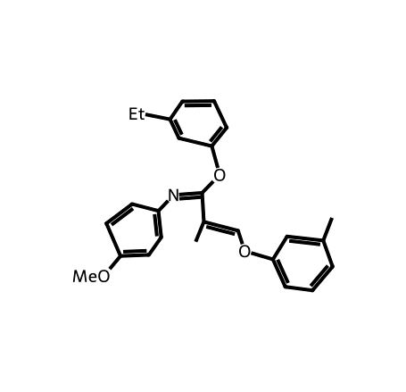 CCc1cccc(OC(=Nc2ccc(OC)cc2)C(C)=COc2cccc(C)c2)c1